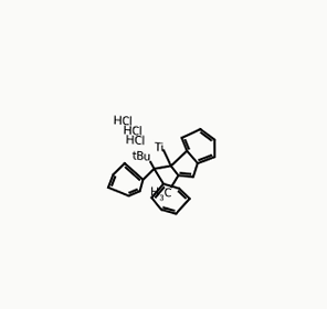 CC1=Cc2ccccc2[C]1([Ti])C(c1ccccc1)(c1ccccc1)C(C)(C)C.Cl.Cl.Cl